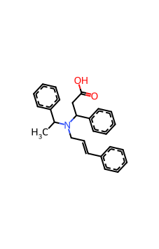 CC(c1ccccc1)N(CC=Cc1ccccc1)C(CC(=O)O)c1ccccc1